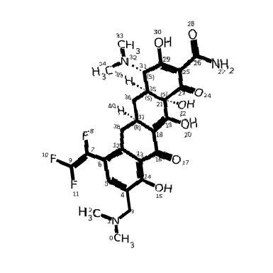 CN(C)Cc1cc(C(F)=C(F)F)c2c(c1O)C(=O)C1=C(O)[C@]3(O)C(=O)C(C(N)=O)=C(O)[C@@H](N(C)C)[C@@H]3C[C@@H]1C2